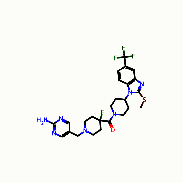 CSc1nc2cc(C(F)(F)F)ccc2n1C1CCN(C(=O)C2(F)CCN(Cc3cnc(N)nc3)CC2)CC1